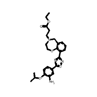 CCOC(=O)CCN1CCOc2c(cccc2-c2noc(-c3ccc(OC(C)C)c(N)c3)n2)C1